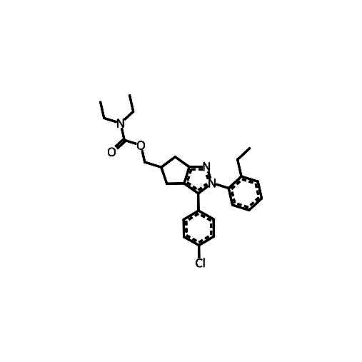 CCc1ccccc1-n1nc2c(c1-c1ccc(Cl)cc1)CC(COC(=O)N(CC)CC)C2